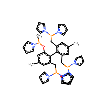 Cc1cc(CP(n2cccc2)n2cccc2)c(-c2c(CP(n3cccc3)n3cccc3)cc(C)cc2OP(C)n2cccc2)c(CP(n2cccc2)n2cccc2)c1